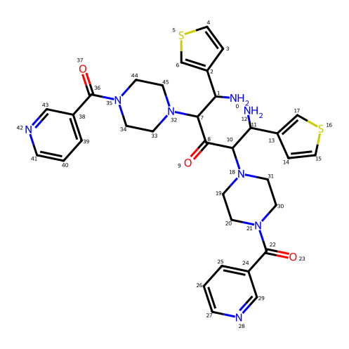 NC(c1ccsc1)C(C(=O)C(C(N)c1ccsc1)N1CCN(C(=O)c2cccnc2)CC1)N1CCN(C(=O)c2cccnc2)CC1